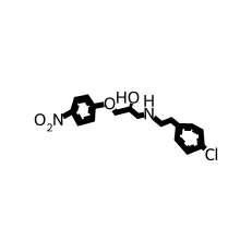 O=[N+]([O-])c1ccc(OC[C@@H](O)CNCCc2ccc(Cl)cc2)cc1